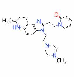 C[C@H]1CCc2c(ccc3c2nc(CCn2ccccc2=O)n3CCN2CCN(C)CC2)N1